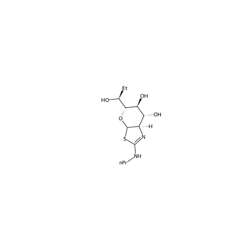 CCCNC1=N[C@H]2C(O[C@H]([C@@H](O)CC)[C@@H](O)[C@@H]2O)S1